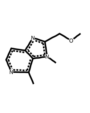 COCc1nc2ccnc(C)c2n1C